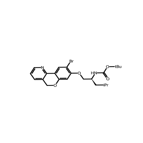 CC(C)C[C@@H](COc1cc2c(cc1Br)-c1ncccc1CO2)NC(=O)OC(C)(C)C